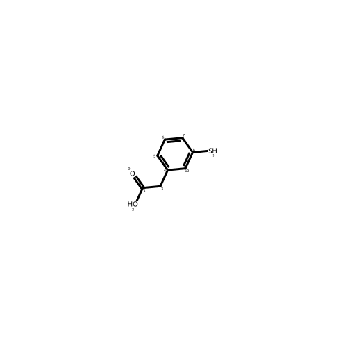 O=C(O)Cc1cccc(S)c1